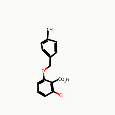 Cc1ccc(COc2cccc(O)c2C(=O)O)cc1